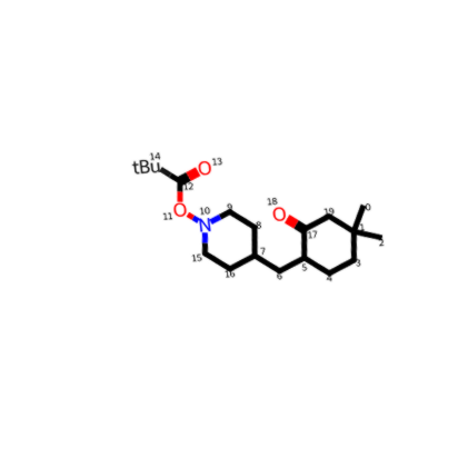 CC1(C)CCC(CC2CCN(OC(=O)C(C)(C)C)CC2)C(=O)C1